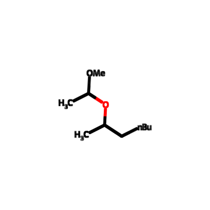 CCCCCC(C)OC(C)OC